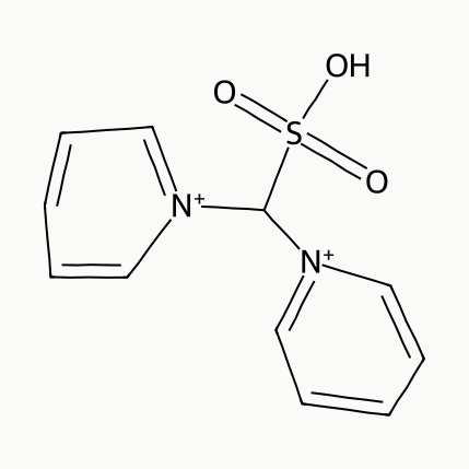 O=S(=O)(O)C([n+]1ccccc1)[n+]1ccccc1